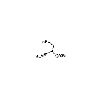 C#CC(CCC[CH2])OC